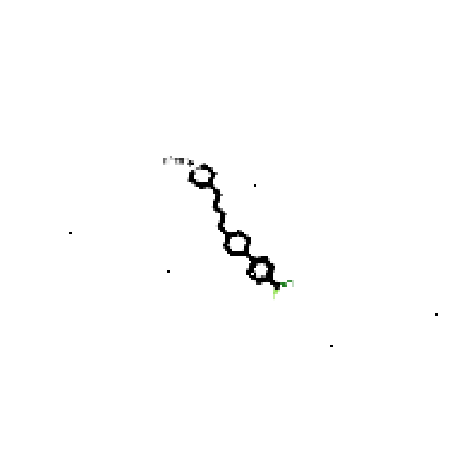 CCCCC[SiH]1CCC(CCCCC2CCC(c3ccc(C(F)Cl)cc3)CC2)CC1